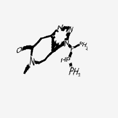 CN1Cc2c(nnn2P(P)PP)CC1=O